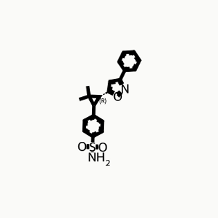 CC1(C)C(c2ccc(S(N)(=O)=O)cc2)[C@H]1c1cc(-c2ccccc2)no1